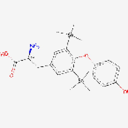 [CH3][Sn]([CH3])([CH3])[c]1cc(C[C@H](N)C(=O)O)c[c]([Sn]([CH3])([CH3])[CH3])c1Oc1ccc(O)cc1